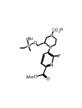 COC(=O)c1ccc(N2CCN(C(=O)O)CC2CO[Si](C)(C)C(C)(C)C)c(F)n1